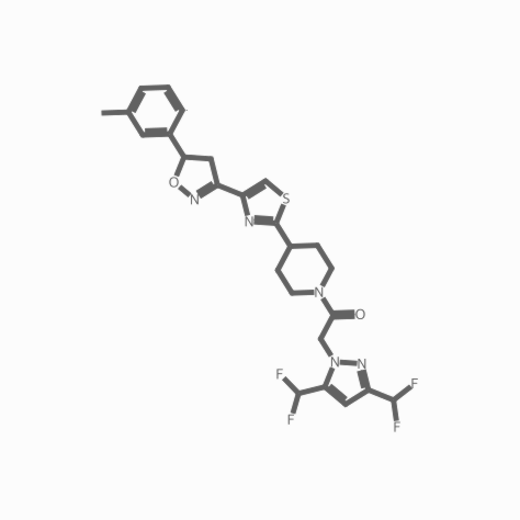 Cc1cc[c]c(C2CC(c3csc(C4CCN(C(=O)Cn5nc(C(F)F)cc5C(F)F)CC4)n3)=NO2)c1